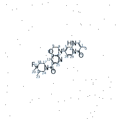 CC1=CNC2C=C(N3CCOc4cc(C(=O)N5CCC(C)(F)C(C)C5)cnc43)C=CN2C1=O